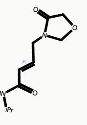 CC(C)NC(=O)/C=C/CN1COCC1=O